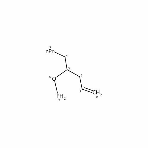 C=CCC(CCCC)OP